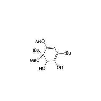 COC1=CC(C(C)(C)C)=C(O)C(O)C1(OC)C(C)(C)C